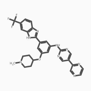 CN1CCC(Oc2cc(Nc3ncc(-c4cnccn4)cn3)cc(-c3nc4ccc(C(F)(F)F)cc4[nH]3)c2)CC1